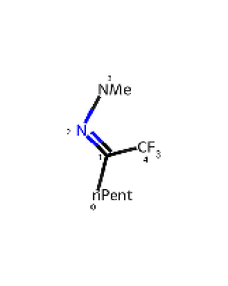 CCCCC/C(=N/NC)C(F)(F)F